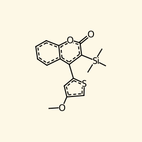 COc1csc(-c2c([Si](C)(C)C)c(=O)oc3ccccc23)c1